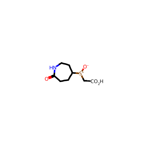 O=C(O)C[S+]([O-])C1CCNC(=O)CC1